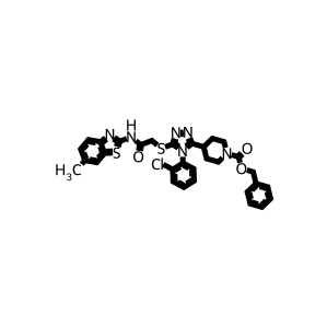 Cc1ccc2nc(NC(=O)CSc3nnc(C4CCN(C(=O)OCc5ccccc5)CC4)n3-c3ccccc3Cl)sc2c1